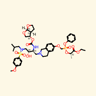 CCOC(=O)[C@H](C)OP(=O)(COc1ccc2c(c1)CCN(C[C@H](NC(=O)O[C@H]1CO[C@H]3OCC[C@H]31)[C@H](O)CN(CC(C)C)S(=O)(=O)c1ccc(OC)cc1)C2)Oc1ccccc1